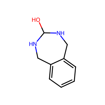 OC1NCc2ccccc2CN1